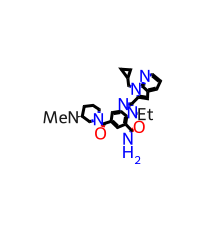 CCn1c(-c2cc3cccnc3n2CC2CC2)nc2cc(C(=O)N3CCC[C@@H](NC)C3)cc(C(N)=O)c21